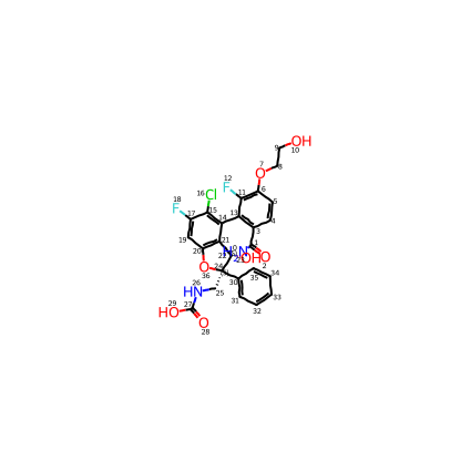 NC(=O)c1ccc(OCCO)c(F)c1-c1c(Cl)c(F)cc2c1[C@H](O)[C@@](CNC(=O)O)(c1ccccc1)O2